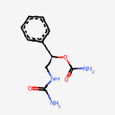 NC(=O)NC[C@H](OC(N)=O)c1ccccc1